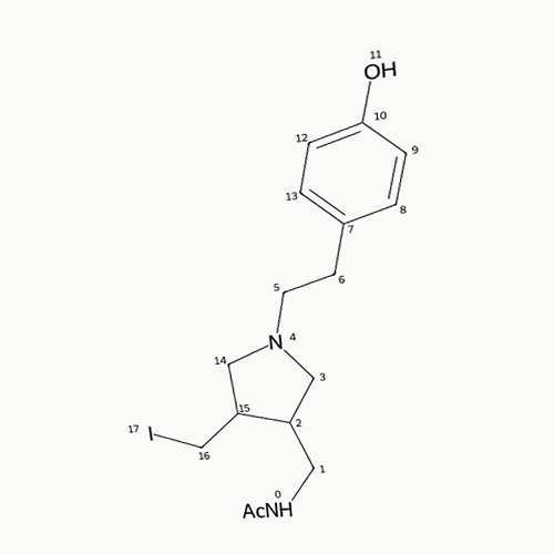 CC(=O)NCC1CN(CCc2ccc(O)cc2)CC1CI